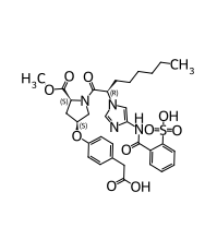 CCCCCC[C@H](C(=O)N1C[C@@H](Oc2ccc(CC(=O)O)cc2)C[C@H]1C(=O)OC)n1cnc(NC(=O)c2ccccc2S(=O)(=O)O)c1